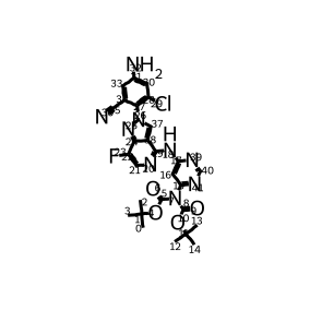 CC(C)(C)OC(=O)N(C(=O)OC(C)(C)C)c1cc(Nc2ncc(F)c3nn(-c4c(Cl)cc(N)cc4C#N)cc23)ncn1